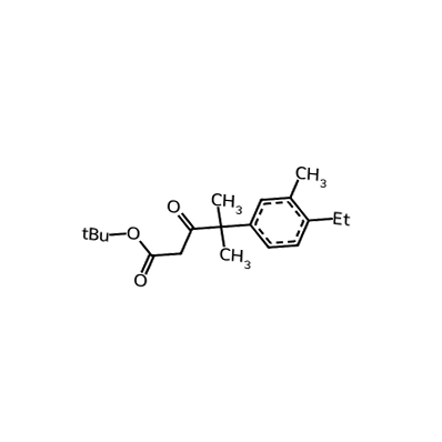 CCc1ccc(C(C)(C)C(=O)CC(=O)OC(C)(C)C)cc1C